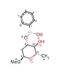 CO[C@H]1C[C@H](OB(O)c2ccccc2)[C@@H](O)[C@H](C)O1